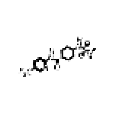 CN(C)S(=O)(=O)N[C@H]1CC[C@H](C(=O)Nc2ccc(C(F)(F)F)cn2)CC1